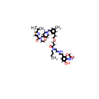 CCCCN(CCNCCc1ccc(O)c2c1OCC(=O)N2)C(=O)CCOCCc1cc(C)cc(CN2CCC3(CC2)CN(C(=O)c2csc(C(C)C)n2)CCO3)c1